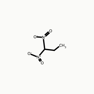 CCC([N+](=O)[O-])[N+](=O)[O-]